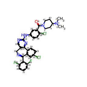 CN(C)C1CCN(C(=O)c2cc(Nc3ncc4c(n3)-c3ccc(Cl)cc3C(c3c(F)cccc3F)=NC4)ccc2Cl)CC1